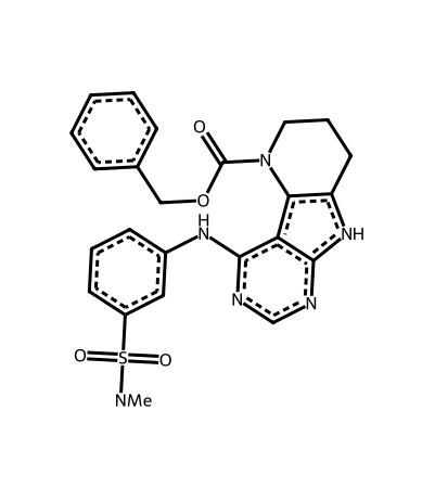 CNS(=O)(=O)c1cccc(Nc2ncnc3[nH]c4c(c23)N(C(=O)OCc2ccccc2)CCC4)c1